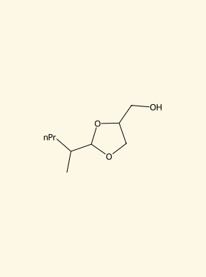 CCCC(C)C1OCC(CO)O1